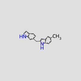 Cc1ccc2[nH]c(Cc3ccc4cc[nH]c4c3)cc2c1